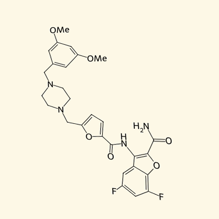 COc1cc(CN2CCN(Cc3ccc(C(=O)Nc4c(C(N)=O)oc5c(F)cc(F)cc45)o3)CC2)cc(OC)c1